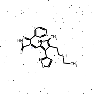 CCNCCc1c(C)[nH]c(/C=C2/C(=O)NN=C2c2cnccn2)c1-c1ccon1